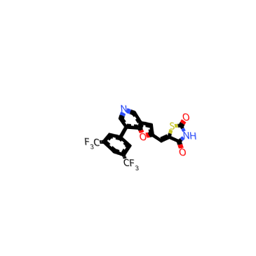 O=C1NC(=O)/C(=C/c2cc3cncc(-c4cc(C(F)(F)F)cc(C(F)(F)F)c4)c3o2)S1